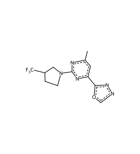 Cc1cc(-c2nnco2)nc(N2CCC(C(F)(F)F)C2)n1